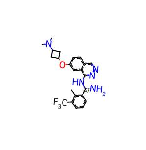 Cc1c([C@@H](N)Nc2nncc3ccc(O[C@H]4C[C@H](N(C)C)C4)cc23)cccc1C(F)(F)F